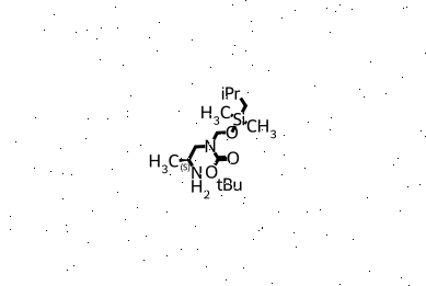 CC(C)C[Si](C)(C)OCN(C[C@H](C)N)C(=O)OC(C)(C)C